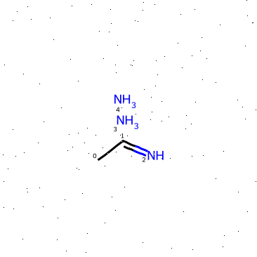 CC=N.N.N